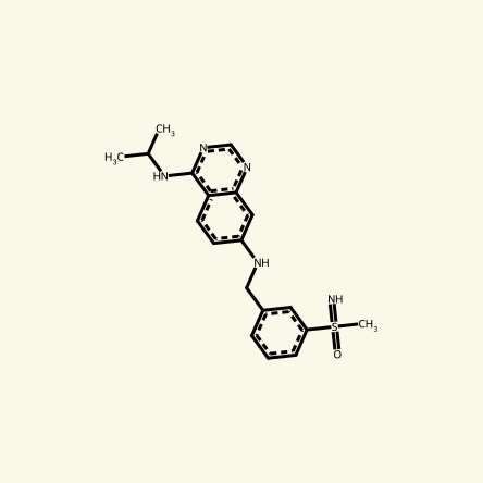 CC(C)Nc1ncnc2cc(NCc3cccc(S(C)(=N)=O)c3)ccc12